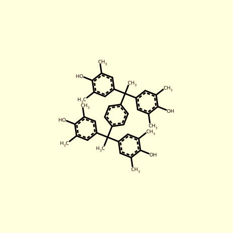 Cc1cc(C(C)(c2ccc(C(C)(c3cc(C)c(O)c(C)c3)c3cc(C)c(O)c(C)c3)cc2)c2cc(C)c(O)c(C)c2)cc(C)c1O